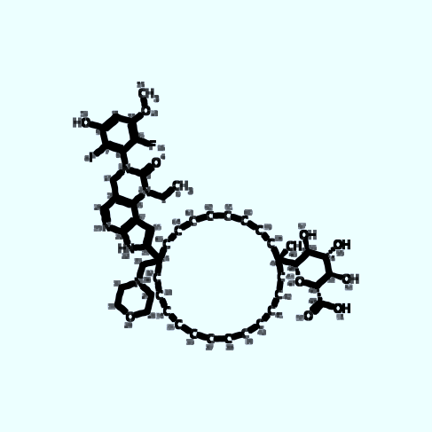 CCN1C(=O)N(c2c(F)c(O)cc(OC)c2F)Cc2cnc3[nH]c(C4(CN5CCOCC5)CCCCCCCCCCCC[C@@](C)([C@H]5O[C@@H](C(=O)O)[C@H](O)[C@@H](O)[C@@H]5O)CCCCCCCC4)cc3c21